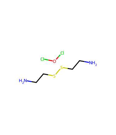 ClOCl.NCCSSCCN